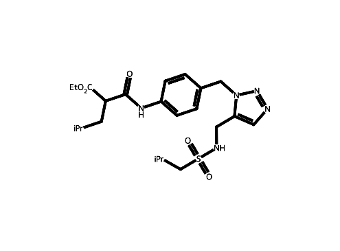 CCOC(=O)C(CC(C)C)C(=O)Nc1ccc(Cn2nncc2CNS(=O)(=O)CC(C)C)cc1